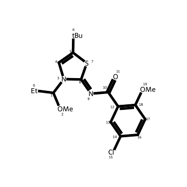 CCC(OC)n1cc(C(C)(C)C)s/c1=N\C(=O)c1cc(Cl)ccc1OC